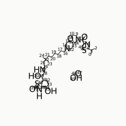 CC(C)c1nc(C(=O)N2CCOC3(CCN(CCCCCCC(C)(C)CCNC[C@H](O)c4ccc(O)c5[nH]c(=O)sc45)CC3)C2)cs1.O=CO